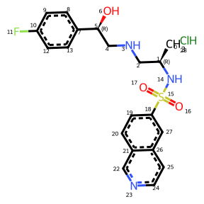 C[C@H](CNC[C@H](O)c1ccc(F)cc1)NS(=O)(=O)c1ccc2cnccc2c1.Cl